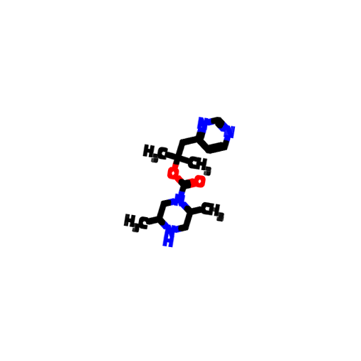 CC1CN(C(=O)OC(C)(C)Cc2ccncn2)C(C)CN1